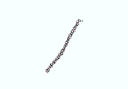 CCCOCCOCCOCCOCCOCCOCCOCCOCCOCCOCCOCCOCCOCCOCCOCCOCCOCCOCCOCCOCCOCCOCCOCCOCCOCCOCCOCCOCCOCCO